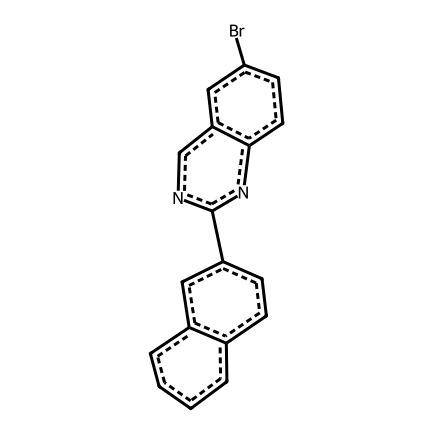 Brc1ccc2nc(-c3ccc4ccccc4c3)ncc2c1